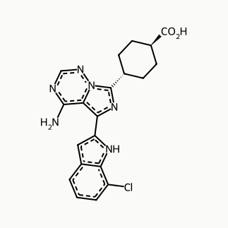 Nc1ncnn2c1c(-c1cc3cccc(Cl)c3[nH]1)nc2[C@H]1CC[C@H](C(=O)O)CC1